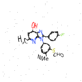 CNc1ccc(-n2c(-c3ccc(F)cc3)nc3c(O)cc(C)nc32)cc1SC=O